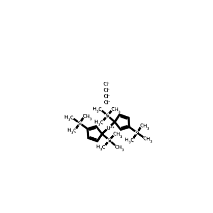 C[Si](C)(C)C1=C[C]([U+4][C]2([Si](C)(C)C)C=CC([Si](C)(C)C)=C2)([Si](C)(C)C)C=C1.[Cl-].[Cl-].[Cl-].[Cl-]